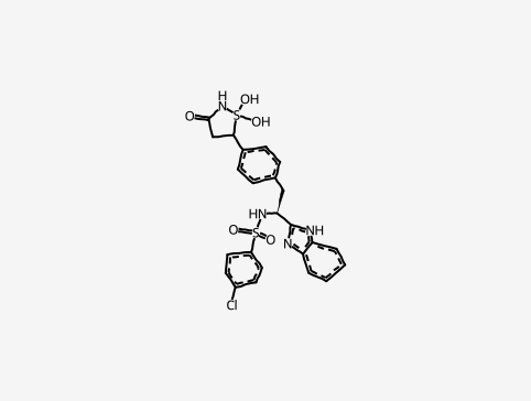 O=C1CC(c2ccc(C[C@H](NS(=O)(=O)c3ccc(Cl)cc3)c3nc4ccccc4[nH]3)cc2)S(O)(O)N1